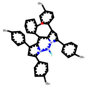 COc1ccccc1-c1c2c(-c3ccc(C(C)(C)C)cc3)cc(-c3ccc(C(C)(C)C)cc3)[n+]-2n(F)n2c(-c3ccc(C(C)(C)C)cc3)cc(-c3ccc(C(C)(C)C)cc3)c12